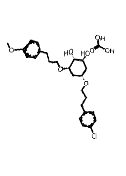 COc1ccc(CCCO[C@@H]2C[C@@H](OCCCc3ccc(Cl)cc3)C[C@H](O)[C@H]2O)cc1.O=C(O)O